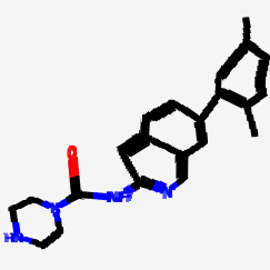 Cc1ccc(C)c(-c2ccc3cc(NC(=O)N4CCNCC4)ncc3c2)c1